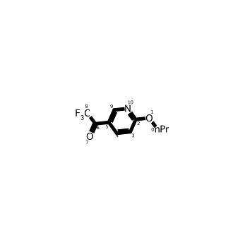 CCCOc1ccc(C(=O)C(F)(F)F)cn1